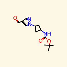 CC(C)(C)OC(=O)N[C@H]1C[C@@H](n2cc(C=O)cn2)C1